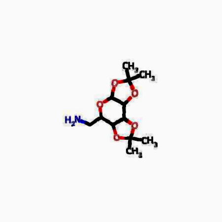 CC1(C)OC2OC(CN)C3OC(C)(C)OC3C2O1